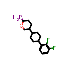 Fc1cccc(C2CCC(C3CCC(P)OC3)CC2)c1F